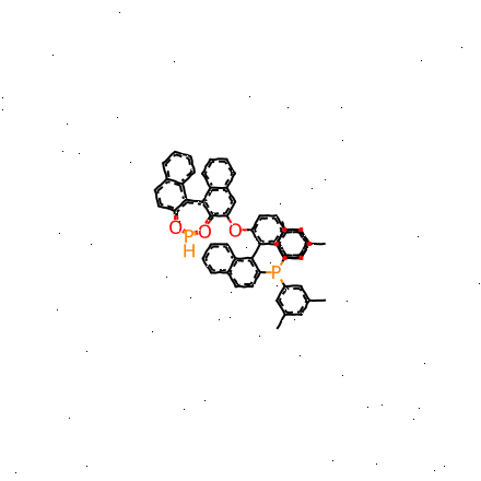 Cc1cc(C)cc(P(c2cc(C)cc(C)c2)c2ccc3ccccc3c2-c2c(Oc3cc4ccccc4c4c3o[pH]oc3ccc5ccccc5c34)ccc3ccccc23)c1